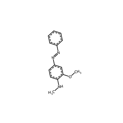 CNc1ccc(N=Nc2ccccc2)cc1OC